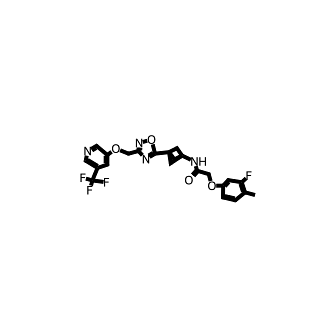 Cc1ccc(OCC(=O)NC23CC(c4nc(COc5cncc(C(F)(F)F)c5)no4)(C2)C3)cc1F